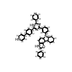 C1=CC2C3C4=C(C=CC3N(c3cccc(C5=NC(c6ccncc6)NC(c6ccc(C7=CCNC=C7)cc6)=N5)c3)C2CC1)N[C@@H](c1ccccc1)O4